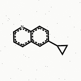 [CH]1CC1c1ccc2ncccc2c1